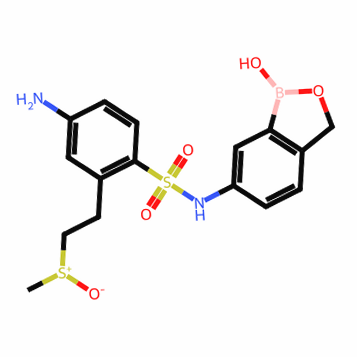 C[S+]([O-])CCc1cc(N)ccc1S(=O)(=O)Nc1ccc2c(c1)B(O)OC2